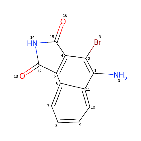 Nc1c(Br)c2c(c3ccccc13)C(=O)NC2=O